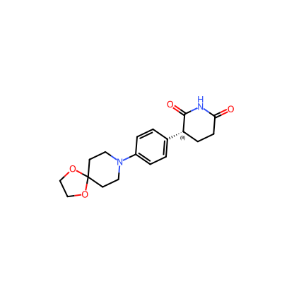 O=C1CC[C@H](c2ccc(N3CCC4(CC3)OCCO4)cc2)C(=O)N1